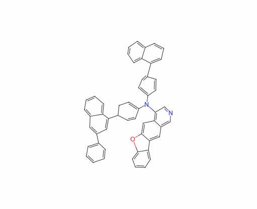 C1=CC(c2cc(-c3ccccc3)cc3ccccc23)CC=C1N(c1ccc(-c2cccc3ccccc23)cc1)c1cncc2cc3c(cc12)oc1ccccc13